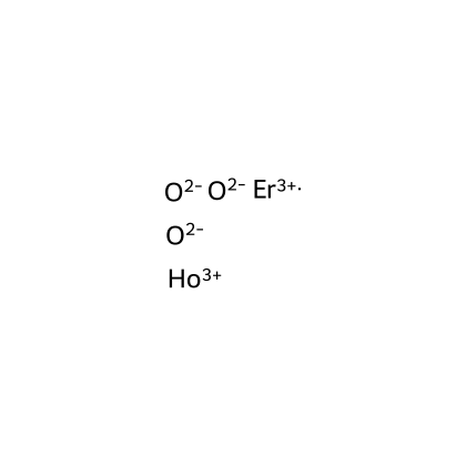 [Er+3].[Ho+3].[O-2].[O-2].[O-2]